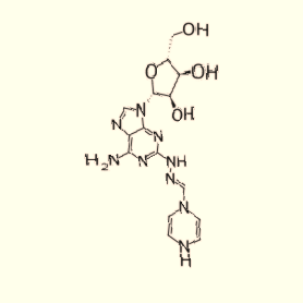 Nc1nc(N/N=C/N2C=CNC=C2)nc2c1ncn2[C@@H]1O[C@H](CO)[C@@H](O)[C@H]1O